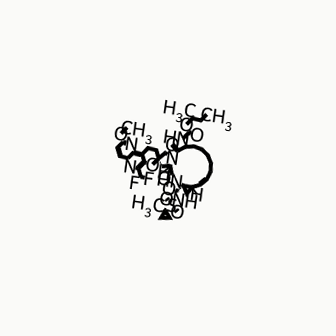 CC[C@H](C)OC(=O)N[C@H]1CCCCC/C=C\[C@@H]2C[C@@]2(C(=O)NS(=O)(=O)C2(C)CC2)NC(=O)[C@@H]2C[C@]3(CCc4c(c(C(F)F)nc5ccc(OC)nc45)O3)CN2C1=O